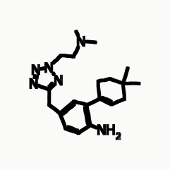 CN(C)CCn1nnc(Cc2ccc(N)c(C3=CCC(C)(C)CC3)c2)n1